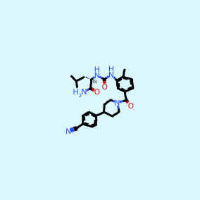 Cc1ccc(C(=O)N2CCC(c3ccc(C#N)cc3)CC2)cc1NC(=O)N[C@@H](CC(C)C)C(N)=O